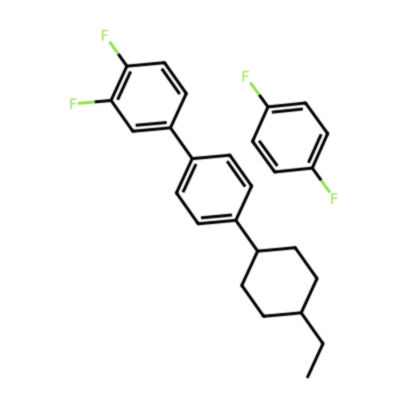 CCC1CCC(c2ccc(-c3ccc(F)c(F)c3)cc2)CC1.Fc1ccc(F)cc1